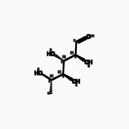 C[C@H](O)[C@H](O)[C@H](O)[C@H](O)C=O